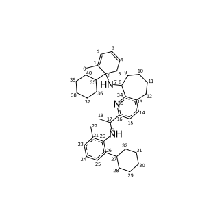 CC1=CC=CCC1(NC1CCCCc2ccc(C(C)Nc3c(C)cccc3C3CCCCC3)nc21)C1CCCCC1